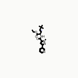 CCOC(=O)[C@@H](/C=C/C(C)(C)C)NC(=O)c1cc(-c2cccnc2)nn1C